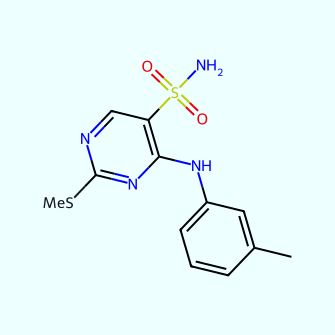 CSc1ncc(S(N)(=O)=O)c(Nc2cccc(C)c2)n1